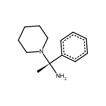 C[C@](N)(c1ccccc1)N1CCCCC1